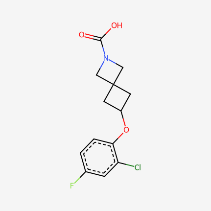 O=C(O)N1CC2(CC(Oc3ccc(F)cc3Cl)C2)C1